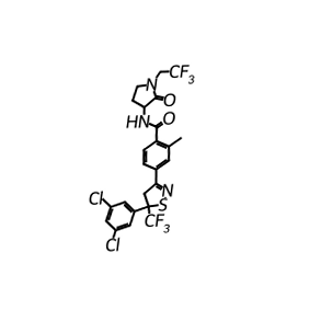 Cc1cc(C2=NSC(c3cc(Cl)cc(Cl)c3)(C(F)(F)F)C2)ccc1C(=O)NC1CCN(CC(F)(F)F)C1=O